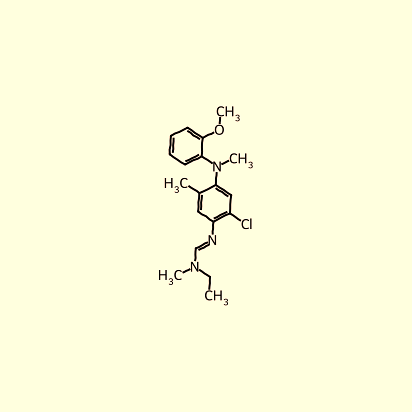 CCN(C)C=Nc1cc(C)c(N(C)c2ccccc2OC)cc1Cl